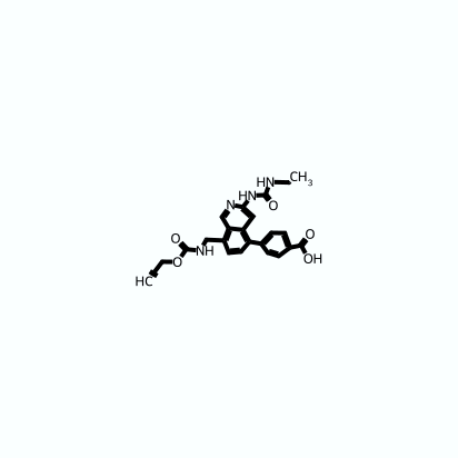 C#CCOC(=O)NCc1ccc(-c2ccc(C(=O)O)cc2)c2cc(NC(=O)NCC)ncc12